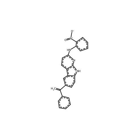 C=C(c1ccccc1)c1ccc2[nH]c3nc(Nc4ccccc4[N+](=O)[O-])ccc3c2c1